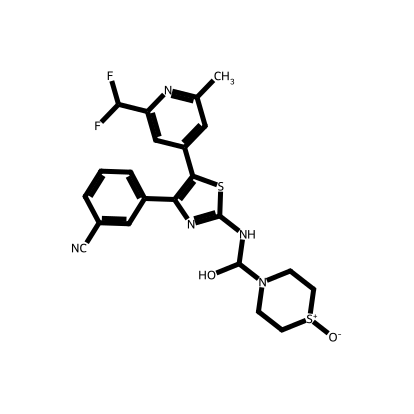 Cc1cc(-c2sc(NC(O)N3CC[S+]([O-])CC3)nc2-c2cccc(C#N)c2)cc(C(F)F)n1